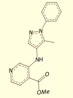 COC(=O)c1ccncc1Nc1cnn(-c2ccccc2)c1C